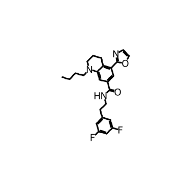 CCCCN1CCCc2c(-c3ncco3)cc(C(=O)NCCc3cc(F)cc(F)c3)cc21